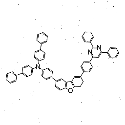 C1=C(c2ccc(-c3cc(-c4ccccc4)nc(-c4ccccc4)n3)cc2)CCc2oc3ccc(-c4ccc(N(c5ccc(-c6ccccc6)cc5)c5ccc(-c6ccccc6)cc5)cc4)cc3c21